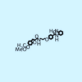 COC(C)Oc1ccc2cc(C(=O)NCCCOc3ccc(C(=O)Nc4ccccc4N)cc3)oc2c1